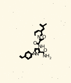 C=Cc1ccc(-n2cc(NC(=O)c3coc(C(/C=C\C)=C/C(=C)C)n3)c(C(N)=O)n2)cc1